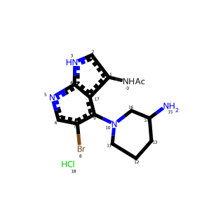 CC(=O)Nc1c[nH]c2ncc(Br)c(N3CCCC(N)C3)c12.Cl